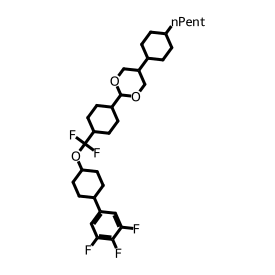 CCCCCC1CCC(C2COC(C3CCC(C(F)(F)OC4CCC(c5cc(F)c(F)c(F)c5)CC4)CC3)OC2)CC1